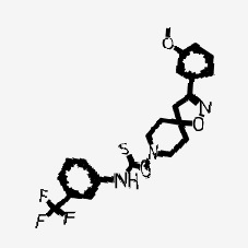 COc1cccc(C2=NOC3(CCN(OC(=S)Nc4cccc(C(F)(F)F)c4)CC3)C2)c1